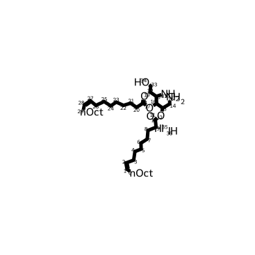 CCCCCCCC/C=C\CCCCCCCC(=O)OC(CN)C(OC(=O)CCCCCCC/C=C\CCCCCCCC)C(N)CCO.I.I